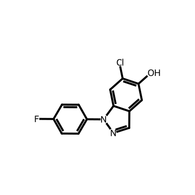 Oc1cc2cnn(-c3ccc(F)cc3)c2cc1Cl